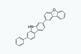 c1ccc(-c2ccc3c(c2)[nH]c2cc(-c4ccc5oc6ccccc6c5c4)ccc23)cc1